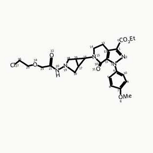 CCOC(=O)c1nn(-c2ccc(OC)cc2)c2c1CCN(C1C3CN(NC(=O)COCCCl)CC31)C2=O